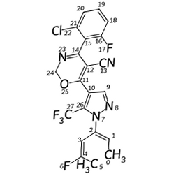 C/C=C(\C=C(/C)F)n1ncc(C2=C(C#N)C(c3c(F)cccc3Cl)=NCO2)c1C(F)(F)F